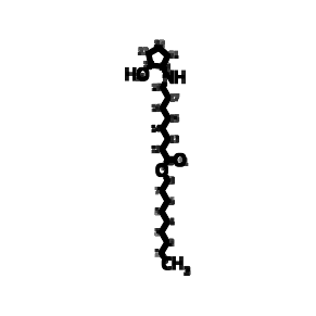 CCCCCCCCCOC(=O)CCCCCCCNC1CCCC1O